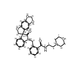 O=C(NCCN1CCOCC1)c1ccccc1CN1C(=O)C2(COc3cc4c(cc32)OCO4)c2ccccc21